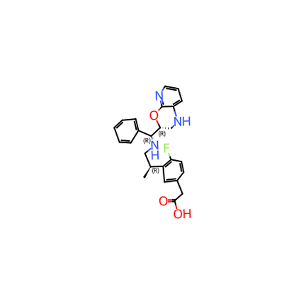 C[C@@H](CN[C@H](c1ccccc1)[C@H]1CNc2cccnc2O1)c1cc(CC(=O)O)ccc1F